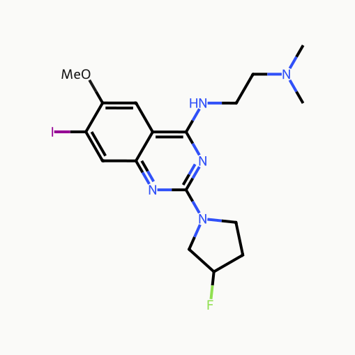 COc1cc2c(NCCN(C)C)nc(N3CCC(F)C3)nc2cc1I